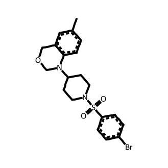 Cc1ccc2c(c1)COCN2C1CCN(S(=O)(=O)c2ccc(Br)cc2)CC1